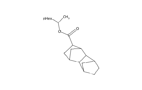 CCCCCCC(C)OC(=O)C1CC2CC1C1C3CCC(C3)C21